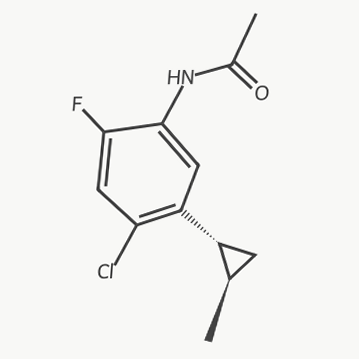 CC(=O)Nc1cc([C@@H]2C[C@H]2C)c(Cl)cc1F